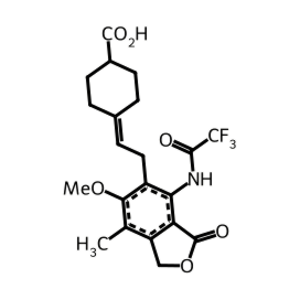 COc1c(C)c2c(c(NC(=O)C(F)(F)F)c1CC=C1CCC(C(=O)O)CC1)C(=O)OC2